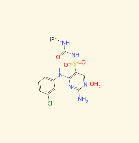 CC(C)NC(=O)NS(=O)(=O)c1cnc(N)nc1Nc1cccc(Cl)c1.O